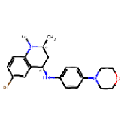 CC(=O)N1c2ccc(Br)cc2[C@H](Nc2ccc(N3CCOCC3)cc2)C[C@@H]1C